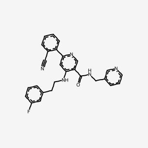 N#Cc1ccccc1-c1cc(NCCc2cccc(F)c2)c(C(=O)NCc2cccnc2)cn1